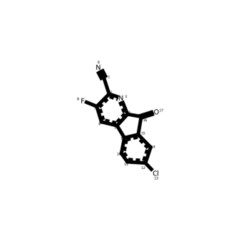 N#Cc1nc2c(cc1F)-c1ccc(Cl)cc1C2=O